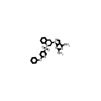 Nc1nc(N)c2cnn(C3Cc4ccccc4N(S(=O)(=O)c4ccc(Oc5ccccc5)nc4)C3)c2n1